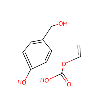 C=COC(=O)O.OCc1ccc(O)cc1